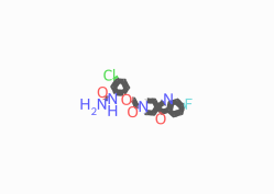 N#CC1(C(=O)c2ccc(F)cc2)CCN(C(=O)COc2ccc(Cl)cc2NC(N)=O)CC1